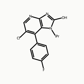 CC(C)n1c(O)nc2ncc(Cl)c(-c3ccc(F)cc3)c21